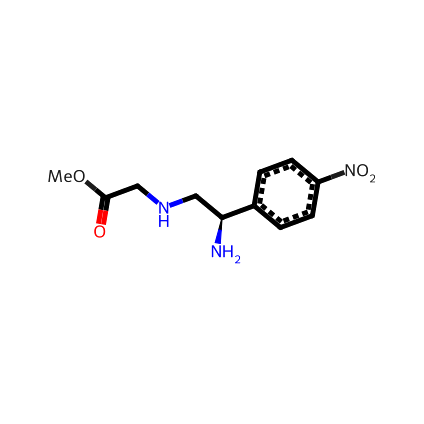 COC(=O)CNC[C@H](N)c1ccc([N+](=O)[O-])cc1